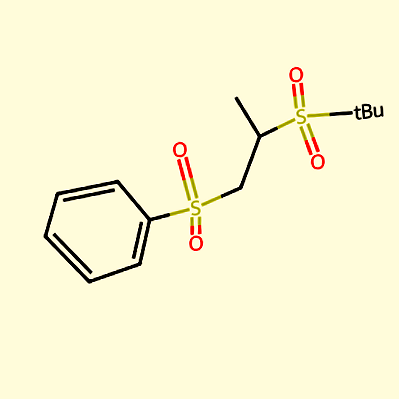 CC(CS(=O)(=O)c1ccccc1)S(=O)(=O)C(C)(C)C